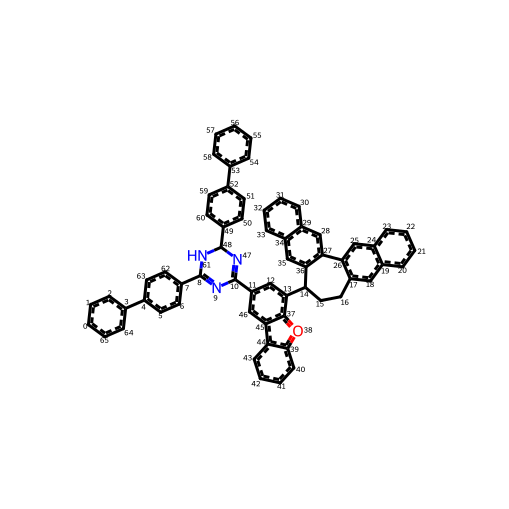 c1ccc(-c2ccc(C3=NC(c4cc(C5CCc6cc7ccccc7cc6-c6cc7ccccc7cc65)c5oc6ccccc6c5c4)=NC(c4ccc(-c5ccccc5)cc4)N3)cc2)cc1